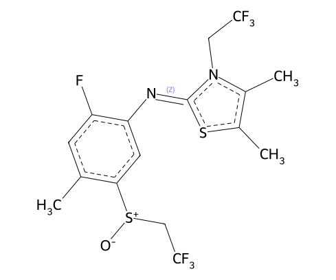 Cc1cc(F)c(/N=c2\sc(C)c(C)n2CC(F)(F)F)cc1[S+]([O-])CC(F)(F)F